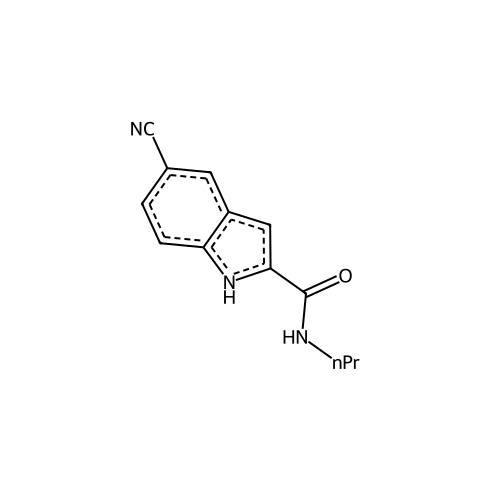 CCCNC(=O)c1cc2cc(C#N)ccc2[nH]1